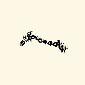 Cn1nc(-n2ccc(=O)[nH]c2=O)c2ccc(N3CCC(N4CC(N5CCC(COc6cc(F)c7c(=O)[nH]c(CSC8CCOCC8)nc7c6)CC5)C4)CC3)cc21